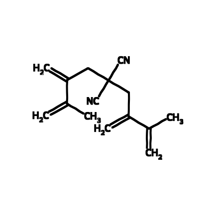 C=C(C)C(=C)CC(C#N)(C#N)CC(=C)C(=C)C